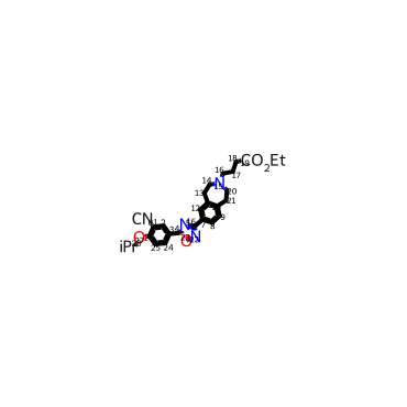 [C-]#[N+]c1cc(-c2nc(-c3ccc4c(c3)CCN(CCCC(=O)OCC)CC4)no2)ccc1OC(C)C